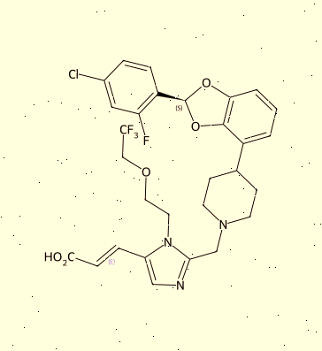 O=C(O)/C=C/c1cnc(CN2CCC(c3cccc4c3O[C@@H](c3ccc(Cl)cc3F)O4)CC2)n1CCOCC(F)(F)F